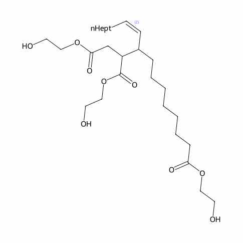 CCCCCCC/C=C\C(CCCCCCCC(=O)OCCO)C(CC(=O)OCCO)C(=O)OCCO